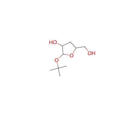 CC(C)(C)OC1OC(CO)CC1O